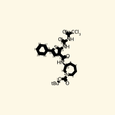 CC(C)(C)OC(=O)N1CCCC[C@H](NC(=O)c2cc(-c3ccccc3)sc2NC(=O)NC(=O)C(Cl)(Cl)Cl)C1